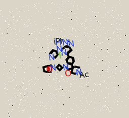 CC(=O)N1CCC2(CC1)C(=O)N([C@H]1C[C@@H](N3CC4CCC(C3)O4)C1)c1cc(-c3cc4ncn(C(C)C)c4c(Nc4ccncc4F)n3)ccc12